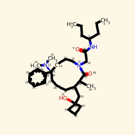 CCCC(CCC)NC(=O)CN1CCC[C@](c2ccccc2)(N(C)C)CCCC(CC2(O)CCC2)C(C)C1=O